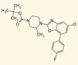 CC1CN(C(=O)OC(C)(C)C)CCN1c1nc2cc(Cl)cc(-c3ccc(F)cc3)c2o1